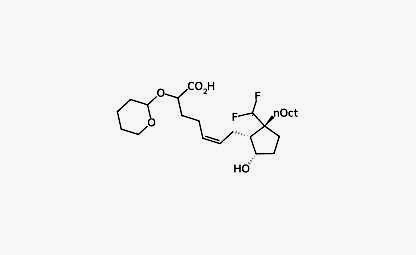 CCCCCCCC[C@@]1([C](F)F)CC[C@H](O)[C@@H]1C/C=C\CCC(OC1CCCCO1)C(=O)O